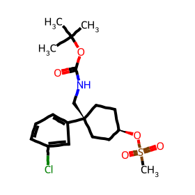 CC(C)(C)OC(=O)NC[C@]1(c2cccc(Cl)c2)CC[C@H](OS(C)(=O)=O)CC1